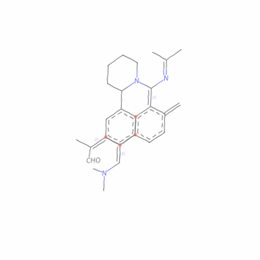 C=c1ccc(C(/C=C(/C)C=O)=C/N(C)C)c/c1=C(/N=C(C)C)N1CCCCC1c1ccccc1